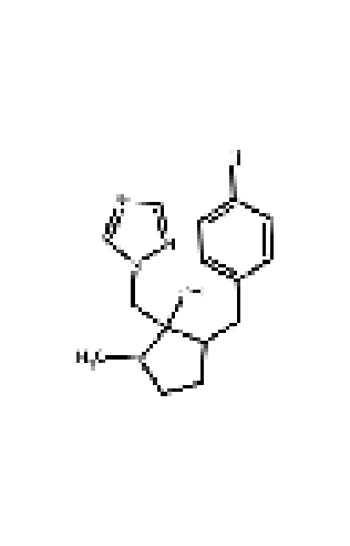 CC1CCC(Cc2ccc(Cl)cc2)C1(O)Cn1cncn1